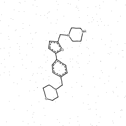 c1cc(-c2ccc(CN3CCNCC3)o2)ccc1CN1CCOCC1